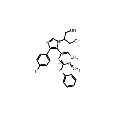 C=N/C(=N\C(=C/C)c1c(-c2ccc(F)cc2)ncn1C(CO)CO)Oc1ccccc1